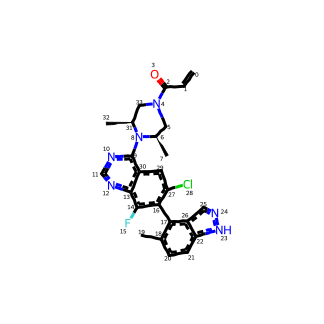 C=CC(=O)N1C[C@@H](C)N(c2ncnc3c(F)c(-c4c(C)ccc5[nH]ncc45)c(Cl)cc23)[C@@H](C)C1